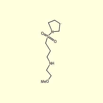 COCCNCCCS(=O)(=O)N1C[CH]CC1